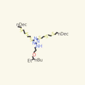 CCCCCCCCCCCCSCCSCCSc1nc(NCCCOCC(CC)CCCC)nc(SCCSCCSCCCCCCCCCCCC)n1